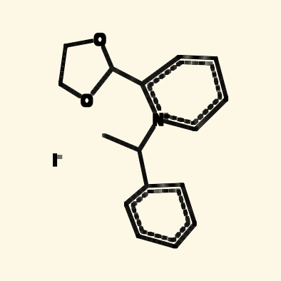 CC(c1ccccc1)[n+]1ccccc1C1OCCO1.[I-]